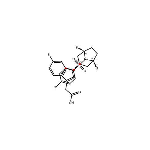 O=C(O)Cc1nn([C@@H]2C[C@H]3CC[C@@H](C2)N3S(=O)(=O)c2ccc(F)cc2)c2cc(F)ccc12